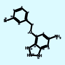 Nc1cc(OCc2cccc(Br)c2)c2c(n1)NNN2